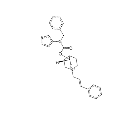 O=C(O[C@H]1C[N+]2(CC=Cc3ccccc3)CCC1CC2)N(Cc1ccccc1)c1ccsc1